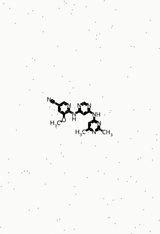 COc1cc(C#N)cnc1Nc1cc(Nc2cc(C)nc(C)n2)ncn1